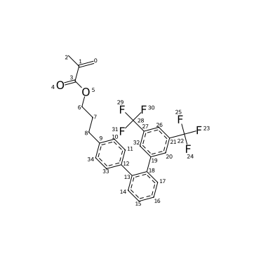 C=C(C)C(=O)OCCCc1ccc(-c2ccccc2-c2cc(C(F)(F)F)cc(C(F)(F)F)c2)cc1